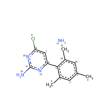 Cc1cc(C)c(-c2cc(Cl)nc(N)n2)c(C)c1.N